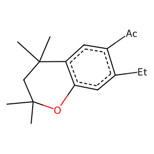 CCc1cc2c(cc1C(C)=O)C(C)(C)CC(C)(C)O2